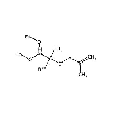 C=C(C)COC(C)(CCC)[SiH](OCC)OCC